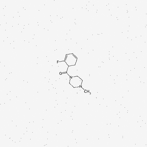 CN1CCN(C(=O)C2CC=CC=C2F)CC1